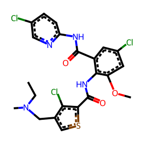 CCN(C)Cc1csc(C(=O)Nc2c(OC)cc(Cl)cc2C(=O)Nc2ccc(Cl)cn2)c1Cl